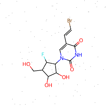 O=c1[nH]c(=O)n(C2C(O)C(O)C(CO)C2F)cc1C=CBr